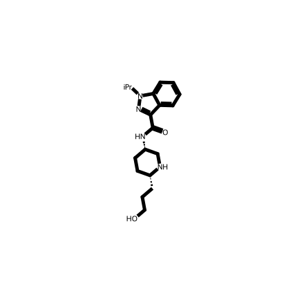 CC(C)n1nc(C(=O)N[C@H]2CC[C@@H](CCCO)NC2)c2ccccc21